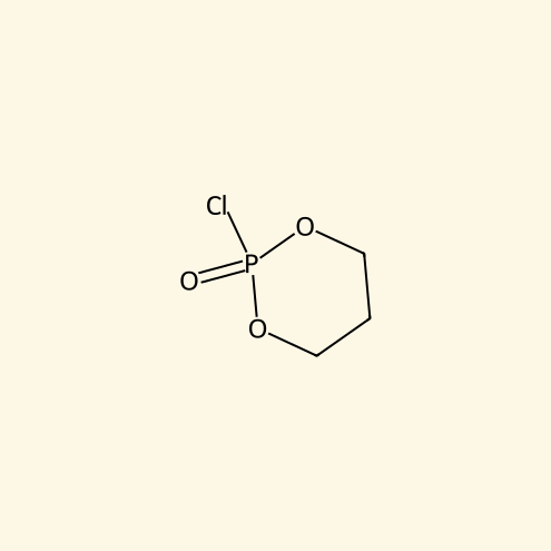 O=P1(Cl)OCCCO1